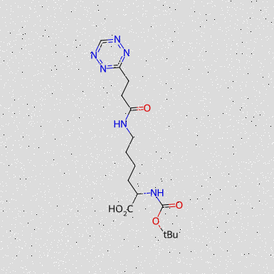 CC(C)(C)OC(=O)NC(CCCCNC(=O)CCc1nncnn1)C(=O)O